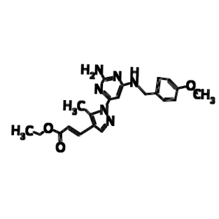 CCOC(=O)C=Cc1cnn(-c2cc(NCc3ccc(OC)cc3)nc(N)n2)c1C